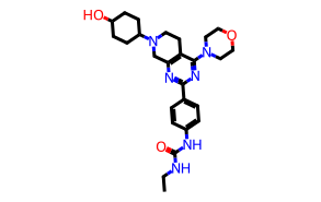 CCNC(=O)Nc1ccc(-c2nc3c(c(N4CCOCC4)n2)CCN(C2CCC(O)CC2)C3)cc1